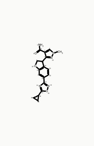 Cn1cc(C(N)=O)c(C2COc3cc(-c4noc(C5CC5)n4)ccc32)n1